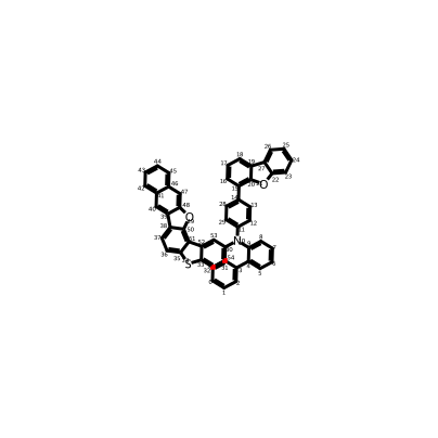 c1ccc(-c2ccccc2N(c2ccc(-c3cccc4c3oc3ccccc34)cc2)c2ccc3sc4ccc5c6cc7ccccc7cc6oc5c4c3c2)cc1